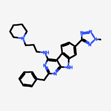 Cn1nnc(-c2ccc3c(c2)[nH]c2nc(Cc4ccccc4)nc(NCCCN4CCCCC4)c23)n1